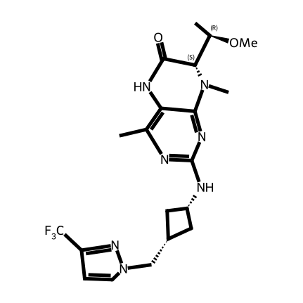 CO[C@H](C)[C@H]1C(=O)Nc2c(C)nc(N[C@H]3C[C@@H](Cn4ccc(C(F)(F)F)n4)C3)nc2N1C